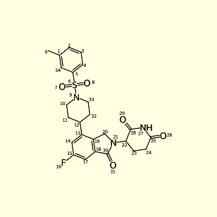 Cc1cccc(S(=O)(=O)N2CCC(c3cc(F)cc4c3CN(C3CCC(=O)NC3=O)C4=O)CC2)c1